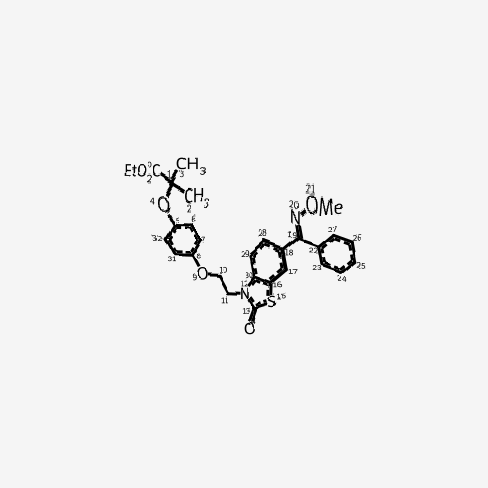 CCOC(=O)C(C)(C)Oc1ccc(OCCn2c(=O)sc3cc(C(=NOC)c4ccccc4)ccc32)cc1